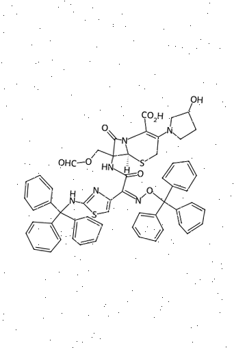 O=COCC1(NC(=O)/C(=N\OC(c2ccccc2)(c2ccccc2)c2ccccc2)c2csc(NC(c3ccccc3)(c3ccccc3)c3ccccc3)n2)C(=O)N2C(C(=O)O)=C(N3CCC(O)C3)CS[C@H]21